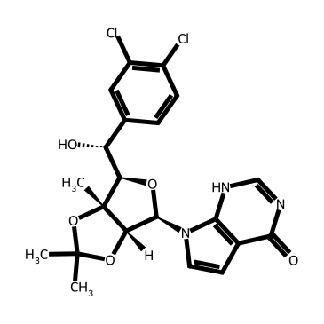 CC1(C)O[C@H]2[C@H](n3ccc4c(=O)nc[nH]c43)O[C@H]([C@H](O)c3ccc(Cl)c(Cl)c3)[C@@]2(C)O1